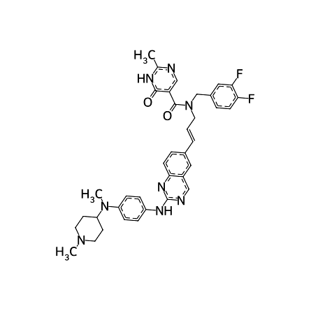 Cc1ncc(C(=O)N(C/C=C/c2ccc3nc(Nc4ccc(N(C)C5CCN(C)CC5)cc4)ncc3c2)Cc2ccc(F)c(F)c2)c(=O)[nH]1